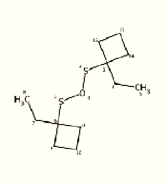 CCC1(SOSC2(CC)CCC2)CCC1